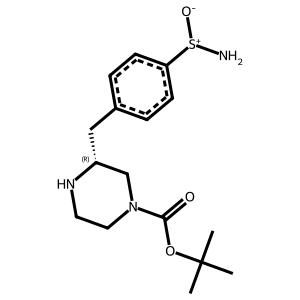 CC(C)(C)OC(=O)N1CCN[C@H](Cc2ccc([S+](N)[O-])cc2)C1